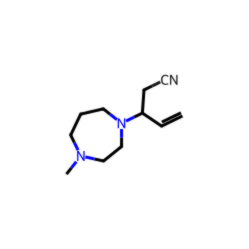 C=CC(CC#N)N1CCCN(C)CC1